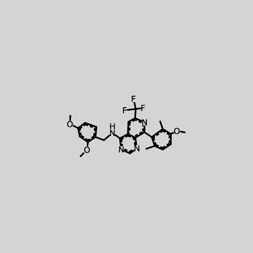 COc1ccc(CNc2ncnc3c(-c4c(C)ccc(OC)c4C)nc(C(F)(F)F)cc23)c(OC)c1